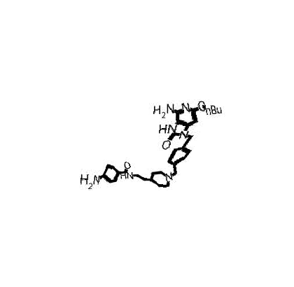 CCCCOc1cc2c([nH]c(=O)n2Cc2ccc(CN3CCC(CCNC(=O)c4ccc(N)cc4)CC3)cc2)c(N)n1